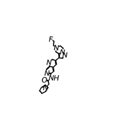 O=C(CN1C2CCC1CC2)Nc1cc2cc(-c3cnn4c3CN(CCF)CC4)cnc2cn1